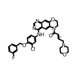 O=C(/C=C/CN1CCOCC1)N1CCOc2cc3ncnc(Nc4ccc(OCc5cccc(F)c5)c(Cl)c4)c3cc21